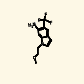 COCCn1ccc2cc(C(F)(F)F)c(N)cc21